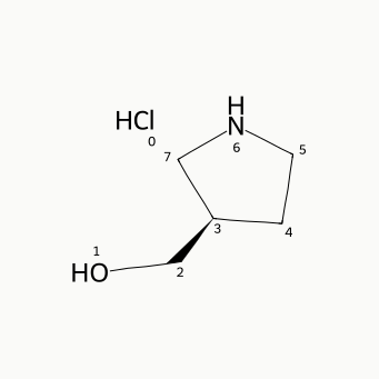 Cl.OC[C@@H]1CCNC1